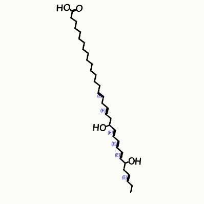 CC/C=C/CC(O)/C=C/C=C/C=C/C(O)C/C=C/C/C=C/CCCCCCCCCCCCCCC(=O)O